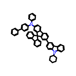 c1ccc(-c2ccc(N(c3ccccc3)c3ccc4c(c3)C3(c5ccccc5-c5ccccc53)c3cc(-c5ccc6c(c5)c5ccccc5n6C5CCCCC5)ccc3-4)cc2)cc1